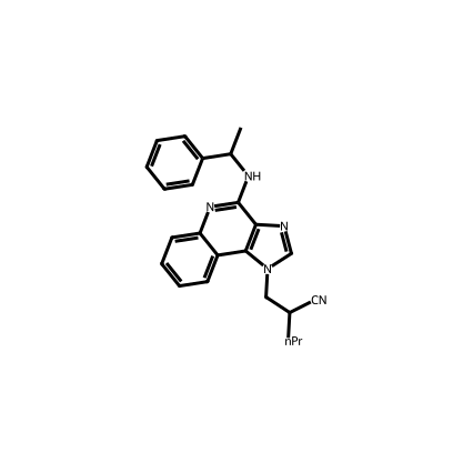 CCCC(C#N)Cn1cnc2c(NC(C)c3ccccc3)nc3ccccc3c21